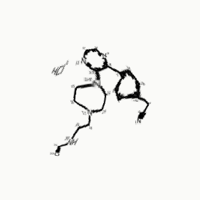 Cl.N#CCc1ccc(-c2nccnc2N2CCN(CCNC=O)CC2)cc1